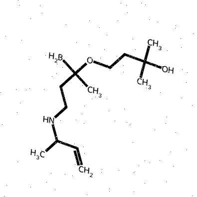 BC(C)(CCNC(C)C=C)OCCC(C)(C)O